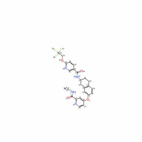 CNC(=O)c1cc(Oc2ccc3c(c2)CC(NC(=O)c2ccc(OCC(F)(F)F)nc2)CC3)ccn1